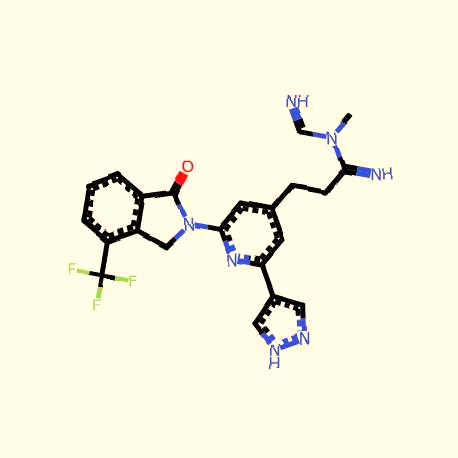 CN(C=N)C(=N)CCc1cc(-c2cn[nH]c2)nc(N2Cc3c(cccc3C(F)(F)F)C2=O)c1